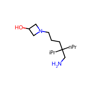 CCCC(CN)(CCCN1CC(O)C1)C(C)C